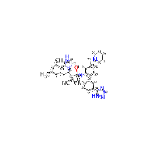 Cc1cc(C)cc(CC(C(C(=O)N(Cc2ccc(-c3nnn[nH]3)cc2)c2cccc(CN3CCCCC3)c2)=C(C#N)C#N)N2CCNC2)c1